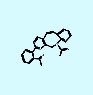 CC(=O)c1ccccc1-c1ccc2c(n1)CN(C(C)=O)c1ccccc1/C=C\2